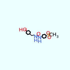 CS(=O)(=O)c1ccc(NC(=O)NCCc2ccc(O)cc2)cc1